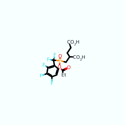 CCC(=O)OP(=O)(CC(CCC(=O)O)C(=O)O)C(F)(F)c1ccc(F)c(F)c1F